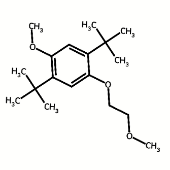 COCCOc1cc(C(C)(C)C)c(OC)cc1C(C)(C)C